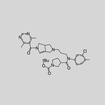 Cc1ccc(N(CCCN2CC3=CN(C(=O)c4c(C)ncnc4C)CC3C2)C(=O)C2CCN(C(=O)OC(C)(C)C)C2)cc1Cl